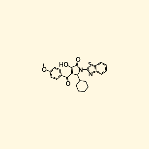 COc1ccc(C(=O)C2=C(O)C(=O)N(c3nc4ccccc4s3)C2C2CCCCC2)cc1